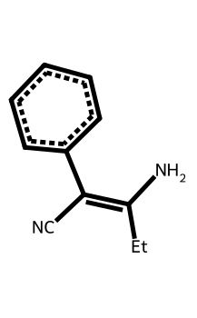 CCC(N)=C(C#N)c1ccccc1